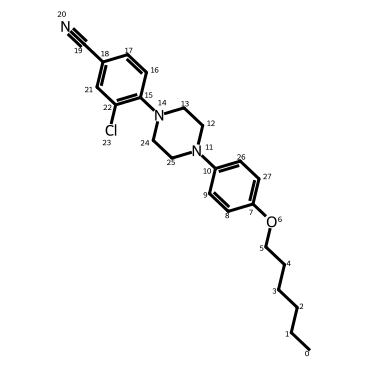 CCCCCCOc1ccc(N2CCN(c3ccc(C#N)cc3Cl)CC2)cc1